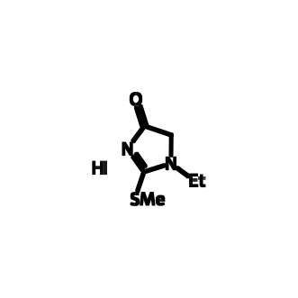 CCN1CC(=O)N=C1SC.I